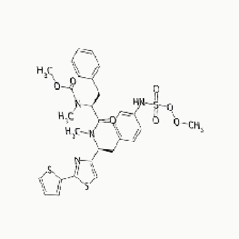 COOS(=O)(=O)Nc1ccc(C[C@@H](c2csc(-c3cccs3)n2)N(C)C(=O)[C@H](Cc2ccccc2)N(C)C(=O)OC)cc1